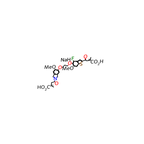 COc1cc2c(cc1OCCCOc1c(OC)cc3sc(C(=O)C[C@H](C)C(=O)O)cc3c1F)CN(C(=O)C[C@H](C)C(=O)O)C2.[NaH]